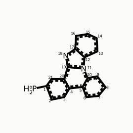 Pc1ccc2c3ccccc3n3c4ccccc4nc3c2c1